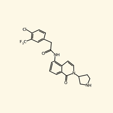 O=C(Cc1ccc(Cl)c(C(F)(F)F)c1)Nc1cccc2c(=O)n(C3CCNC3)ccc12